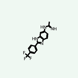 CC(=N)Nc1ccc2nc(-c3ccc(C(F)(F)F)cc3)[nH]c2c1